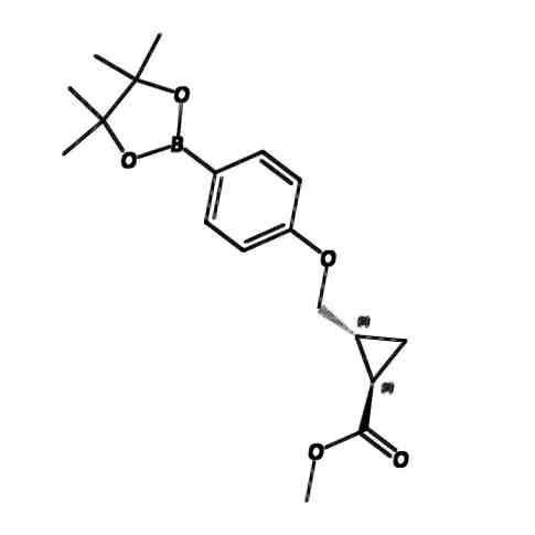 COC(=O)[C@@H]1C[C@H]1COc1ccc(B2OC(C)(C)C(C)(C)O2)cc1